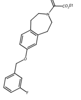 CCOC(=O)C(=O)N1CCc2ccc(OCc3cccc(F)c3)cc2CC1